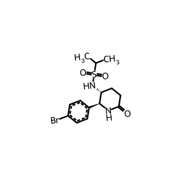 CC(C)S(=O)(=O)N[C@@H]1CCC(=O)N[C@H]1c1ccc(Br)cc1